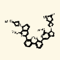 COc1nc(-c2cccc(-c3cccc(-c4cc5c(c(OC)n4)[C@@H](N4CC6(CNC(=O)C6)C4)CC5)c3Cl)c2Cl)cc2c1[C@H](N1CC(OC)C1)CC2